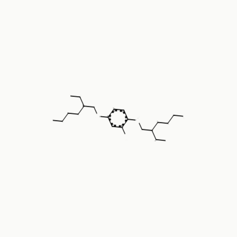 CCCCC(CC)COc1ccc(OCC(CC)CCCC)c(Cl)c1